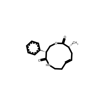 C[C@@H]1C/C=C/CCNC(=O)[C@H](c2ccccc2)COC1=O